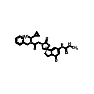 CNC(=O)NC1=CC(=O)C2CC[C@@]3(CN(CC(=O)N(Cc4ccccc4)C(C)C4CC4)C(=O)O3)C2=C1